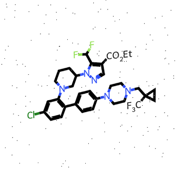 CCOC(=O)c1cnn(C2CCCN(c3cc(Cl)ccc3-c3ccc(N4CCN(CC5(C(F)(F)F)CC5)CC4)cc3)C2)c1C(F)F